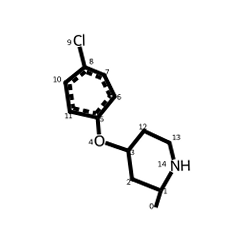 CC1CC(Oc2ccc(Cl)cc2)CCN1